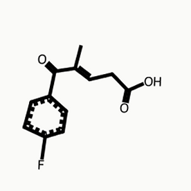 CC(=CCC(=O)O)C(=O)c1ccc(F)cc1